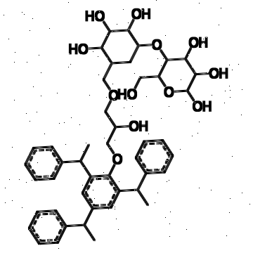 CC(c1ccccc1)c1cc(C(C)c2ccccc2)c(OCC(O)COCC2CC(OC3C(CO)OC(O)C(O)C3O)C(O)C(O)C2O)c(C(C)c2ccccc2)c1